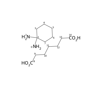 NC1(N)CCCCC1.O=C(O)CCCCCC(=O)O